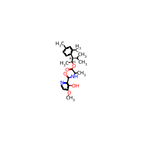 COc1ccnc(C(=O)NC(C)C(=O)O[C@@H](C)[C@@H](c2ccc(C)cc2C)C(C)C)c1O